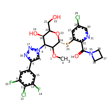 COC1C(n2cc(-c3cc(F)c(Cl)c(F)c3)nn2)[C@@H](O)C(CO)O[C@@H]1Sc1cc(Cl)cnc1C(=O)N1CCC1